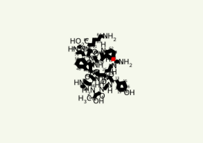 C[C@@H](O)[C@H](N)C(=O)NCC(=O)N[C@@H](Cc1ccc(O)cc1)C(=O)N[C@@H](CCCNC(=N)N)C(=O)N[C@H](Cc1c[nH]cn1)C(=O)N[C@@H](Cc1ccccc1)C(=O)N[C@@H](Cc1c[nH]c2ccccc12)C(=O)N[C@H](Cc1c[nH]cn1)C(=O)N[C@@H](CCCCN)C(=O)O